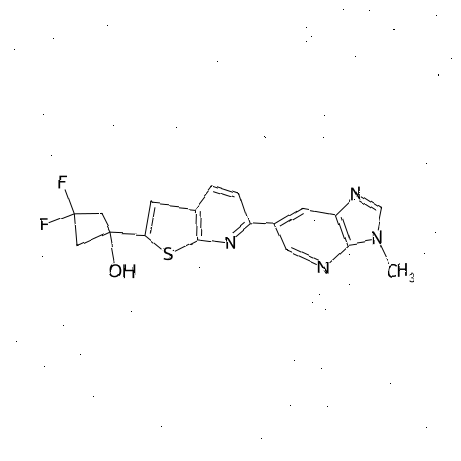 Cn1cnc2cc(-c3ccc4cc(C5(O)CC(F)(F)C5)sc4n3)cnc21